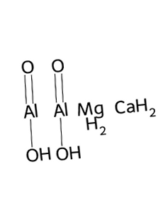 [CaH2].[MgH2].[O]=[Al][OH].[O]=[Al][OH]